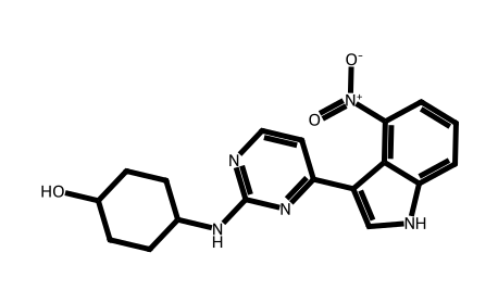 O=[N+]([O-])c1cccc2[nH]cc(-c3ccnc(NC4CCC(O)CC4)n3)c12